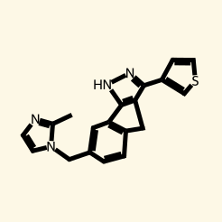 Cc1nccn1Cc1ccc2c(c1)-c1[nH]nc(-c3ccsc3)c1C2